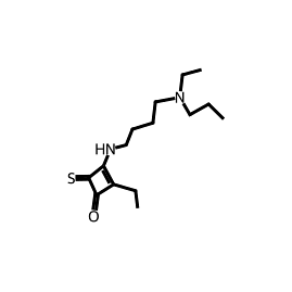 CCCN(CC)CCCCNc1c(CC)c(=O)c1=S